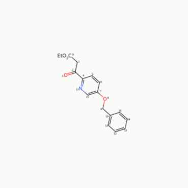 CCOC(=O)CC(=O)c1ccc(OCc2ccccc2)cn1